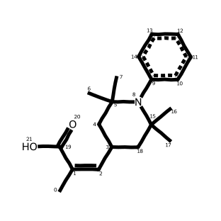 CC(=CC1CC(C)(C)N(c2ccccc2)C(C)(C)C1)C(=O)O